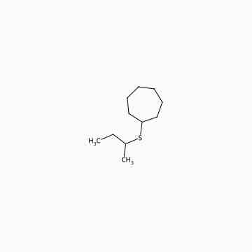 CCC(C)SC1CCCCCC1